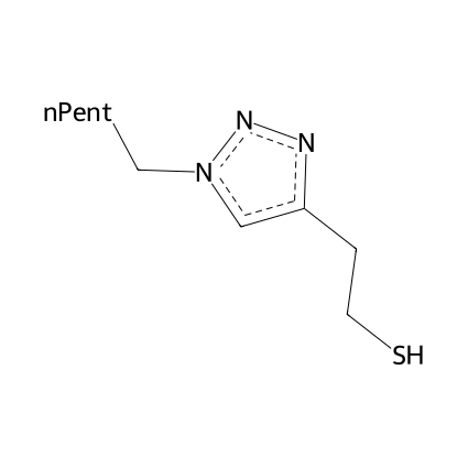 CCCCCCn1cc(CCS)nn1